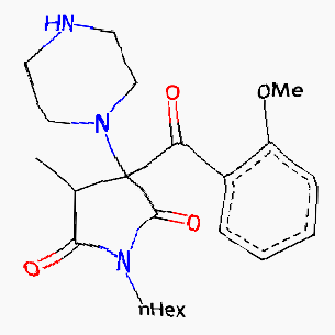 CCCCCCN1C(=O)C(C)C(C(=O)c2ccccc2OC)(N2CCNCC2)C1=O